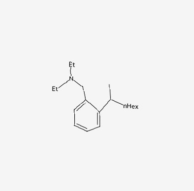 CCCCCCC(C)c1ccccc1CN(CC)CC